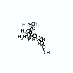 C#CCOc1cnc2c(Nc3ccc(F)c([C@]4(CF)C[C@](C)(/C=C/C(=O)N(C)C)SC(N)=N4)c3)ncnc2c1